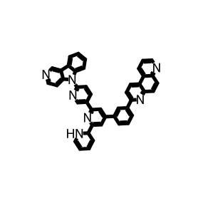 C1=CNC(c2cc(-c3cccc(-c4ccc5c(ccc6ncccc65)n4)c3)cc(-c3ccc(-n4c5ccccc5c5cnccc54)nc3)n2)C=C1